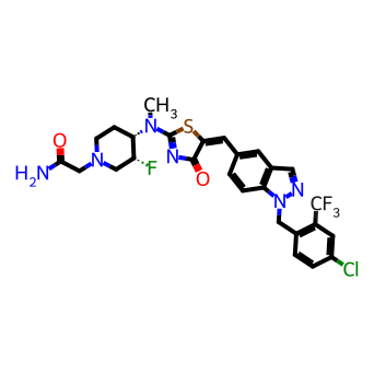 CN(C1=NC(=O)/C(=C\c2ccc3c(cnn3Cc3ccc(Cl)cc3C(F)(F)F)c2)S1)[C@H]1CCN(CC(N)=O)C[C@H]1F